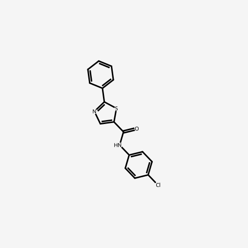 O=C(Nc1ccc(Cl)cc1)c1cnc(-c2ccccc2)s1